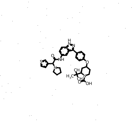 CC(C)(C)C1CC(Oc2ccc(-c3n[nH]c4ccc(NC(=O)C(c5ccsc5)N5CCCC5)cc34)cc2)CCN1C(=O)O